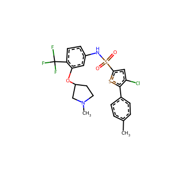 Cc1ccc(-c2sc(S(=O)(=O)Nc3ccc(C(F)(F)F)c(OC4CCN(C)C4)c3)cc2Cl)cc1